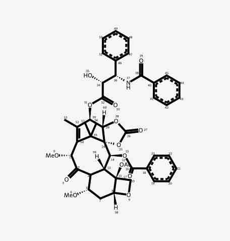 CO[C@H]1C(=O)C2[C@@H](OC)C[C@H]3OC[C@@]3(OC(C)=O)[C@H]2[C@H](OC(=O)c2ccccc2)[C@]23OC(=O)O[C@H]2[C@H](OC(=O)[C@H](O)[C@@H](NC(=O)c2ccccc2)c2ccccc2)C(C)=C1C3(C)C